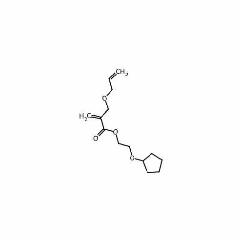 C=CCOCC(=C)C(=O)OCCOC1CCCC1